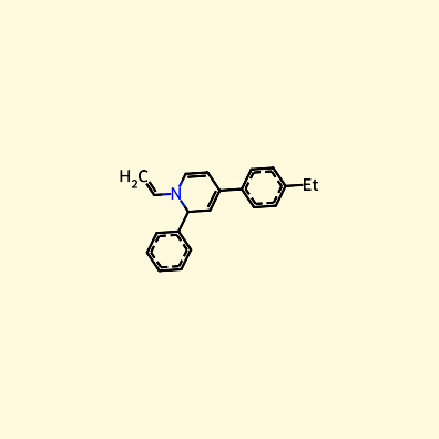 C=CN1C=CC(c2ccc(CC)cc2)=CC1c1ccccc1